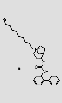 O=C(Nc1ccccc1-c1ccccc1)OC1CC[N@@+]2(CCCCCCCCCBr)CCC1C2.[Br-]